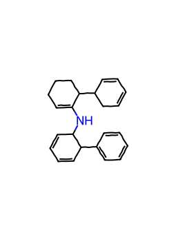 C1=CCC(C2CCCC=C2NC2C=CC=CC2c2ccccc2)C=C1